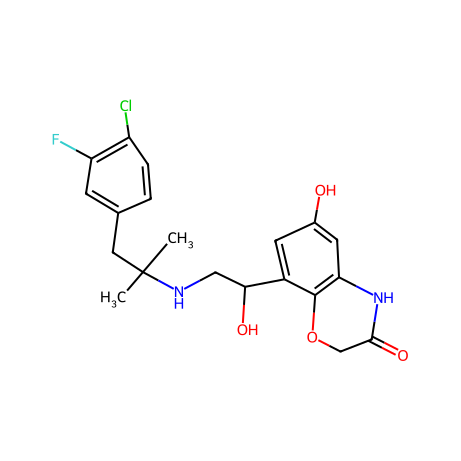 CC(C)(Cc1ccc(Cl)c(F)c1)NCC(O)c1cc(O)cc2c1OCC(=O)N2